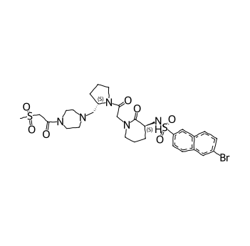 CS(=O)(=O)CC(=O)N1CCN(C[C@@H]2CCCN2C(=O)CN2CCC[C@H](NS(=O)(=O)c3ccc4cc(Br)ccc4c3)C2=O)CC1